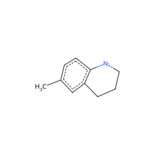 Cc1ccc2c(c1)CCC[N]2